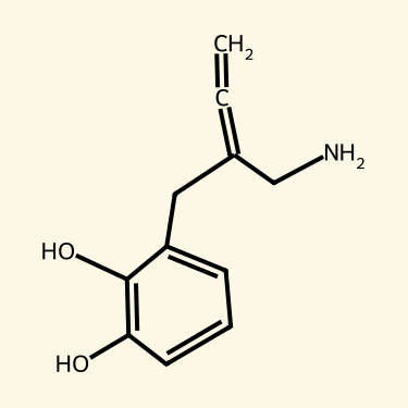 C=C=C(CN)Cc1cccc(O)c1O